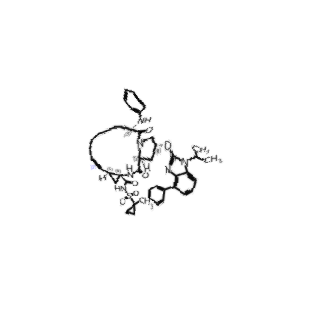 CC(C)n1c(O[C@@H]2C[C@H]3C(=O)N[C@]4(C(=O)NS(=O)(=O)C5(C)CC5)C[C@H]4/C=C\CCCCC[C@H](Nc4ccccc4)C(=O)N3C2)nc2c(-c3ccccc3)cccc21